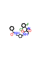 Cc1onc(-c2c(F)cccc2Cl)c1C(=O)N[C@@H]1CCC(CNC(=O)c2ccccc2)C1